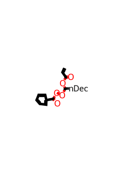 C=CC(=O)OC(CCCCCCCCCC)OOC(=O)c1ccccc1